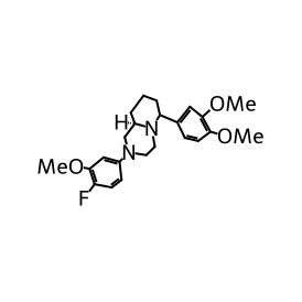 COc1cc(N2CCN3C(c4ccc(OC)c(OC)c4)CCC[C@@H]3C2)ccc1F